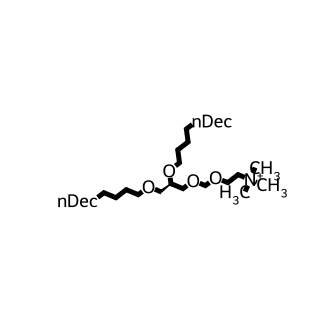 CCCCCCCCCCCCCCOC[C@H](COCOCC[N+](C)(C)C)OCCCCCCCCCCCCCC